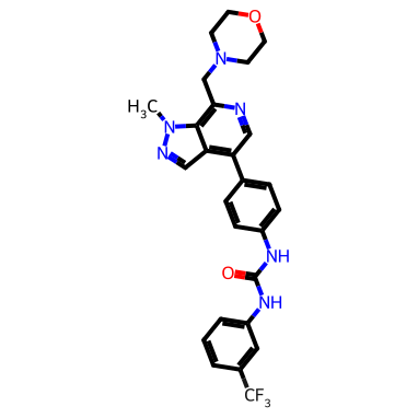 Cn1ncc2c(-c3ccc(NC(=O)Nc4cccc(C(F)(F)F)c4)cc3)cnc(CN3CCOCC3)c21